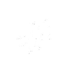 CC(=O)NC1C(S)OC(CO)C(OC2OC(CO)C(O)C(O)C2O)C1O